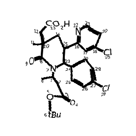 CC(CC(=O)OC(C)(C)C)N1C(=O)C(C)(CC(=O)O)CC(c2cc(Cl)ccn2)C1c1ccc(Cl)cc1